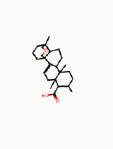 CC1CCC2(C)C3CCC4C5(C)CCCC4(COC5)C3=CCC2(C)C1C(=O)O